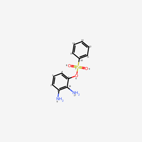 Nc1cccc(OS(=O)(=O)c2ccccc2)c1N